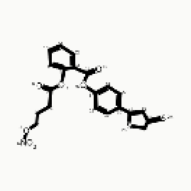 O=C(CCCO[N+](=O)[O-])Oc1ccccc1C(=O)Oc1ccc(C2=CC(=S)CS2)cc1